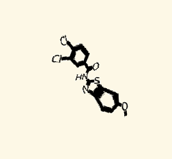 COc1ccc2nc(NC(=O)c3ccc(Cl)c(Cl)c3)sc2c1